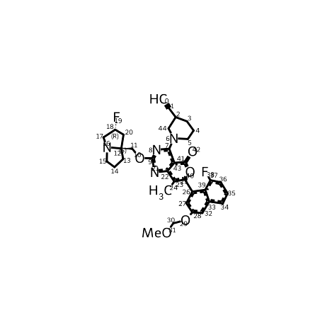 C#CC1CCCN(c2nc(OC[C@@]34CCCN3C[C@H](F)C4)nc3c(C)c(-c4cc(OCOC)cc5cccc(F)c45)oc(=O)c23)C1